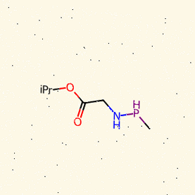 CPNCC(=O)OC(C)C